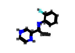 CS/C(=N\c1ccccc1F)c1cnccn1